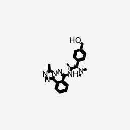 Cc1nnc2c3ccccc3c(N[C@@H](C)[C@H](c3ccc(CO)cc3)N(C)C)nn12